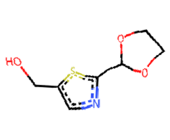 OCc1cnc(C2OCCO2)s1